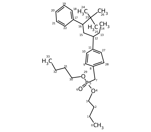 CCCCOP(=O)(Cc1ccc(C(CC)CC(c2ccccc2)C(C)(C)C)cc1)OCCCC